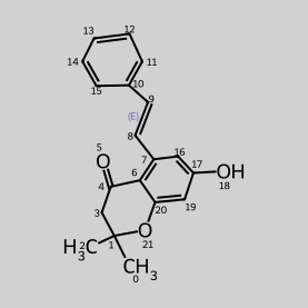 CC1(C)CC(=O)c2c(/C=C/c3ccccc3)cc(O)cc2O1